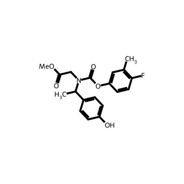 COC(=O)CN(C(=O)Oc1ccc(F)c(C)c1)C(C)c1ccc(O)cc1